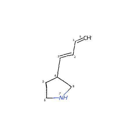 [CH]=CC=CC1CCNC1